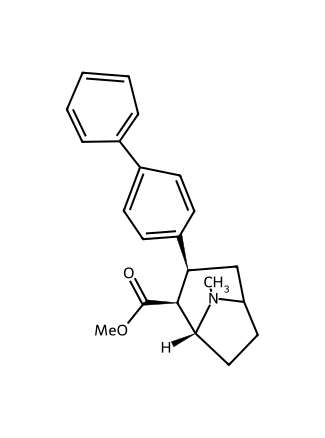 COC(=O)[C@H]1[C@@H](c2ccc(-c3ccccc3)cc2)CC2CC[C@H]1N2C